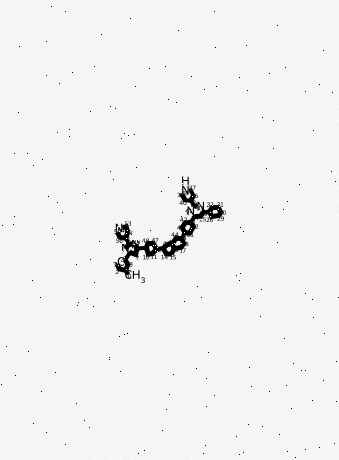 Cc1cccc(-c2cc(-c3ccc(-c4ccc5ccc(-c6ccc(-c7cc(-c8ccccc8)nc(C8=CCNC=C8)n7)cc6)cc5c4)cc3)nc(-c3ccncc3)n2)c1